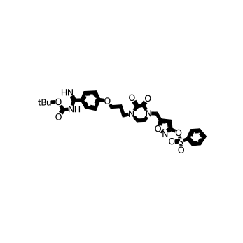 CC(C)(C)OC(=O)NC(=N)c1ccc(OCCCN2CCN(Cc3cc(OS(=O)(=O)c4ccccc4)no3)C(=O)C2=O)cc1